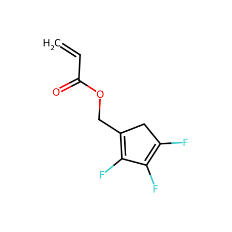 C=CC(=O)OCC1=C(F)C(F)=C(F)C1